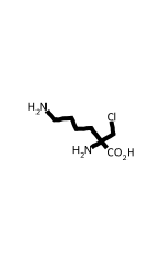 NCCCCC(N)(CCl)C(=O)O